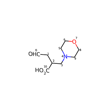 O=CCC(CN1CCOCC1)C(=O)O